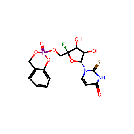 O=c1ccn([C@@H]2O[C@](F)(COP3(=O)OCc4ccccc4O3)[C@@H](O)[C@H]2O)c(=S)[nH]1